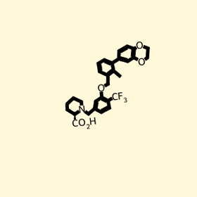 Cc1c(COc2cc(CN3CCCC[C@@H]3C(=O)O)ccc2C(F)(F)F)cccc1-c1ccc2c(c1)OCCO2